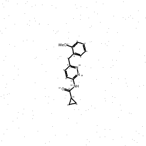 COc1ccccc1Cc1ccc(NC(=O)C2CC2)nn1